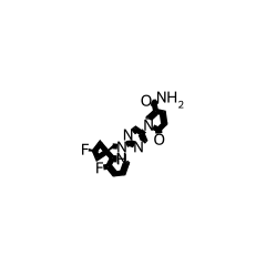 NC(=O)c1ccc(=O)n(-c2cnc(NC[C@]3(c4ncccc4F)C[C@H](F)C3)nc2)c1